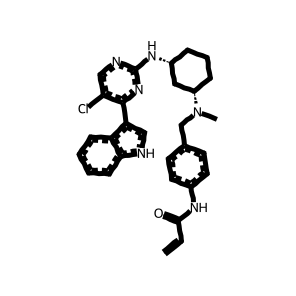 C=CC(=O)Nc1ccc(CN(C)[C@H]2CCC[C@@H](Nc3ncc(Cl)c(-c4c[nH]c5ccccc45)n3)C2)cc1